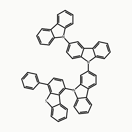 c1ccc(-c2ccc(-n3c4ccccc4c4ccc(-n5c6ccccc6c6cc(-n7c8ccccc8c8ccccc87)ccc65)cc43)c3c2sc2ccccc23)cc1